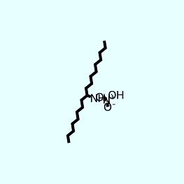 CCCCCCCCCC(N)CCCCCCCC.O=[N+]([O-])O